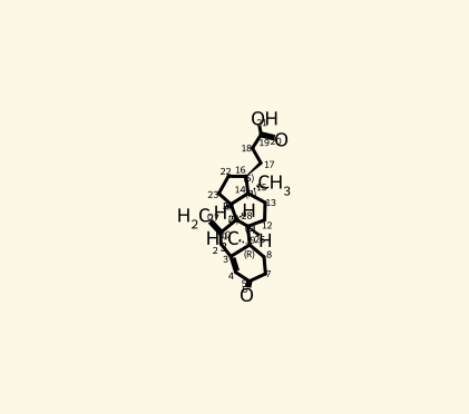 C=C1CC2=CC(=O)CC[C@]2(C)[C@H]2CC[C@]3(C)[C@H](CCC(=O)O)CC[C@H]3[C@H]12